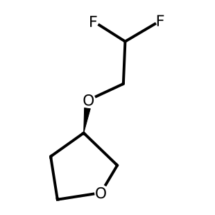 FC(F)CO[C@@H]1CCOC1